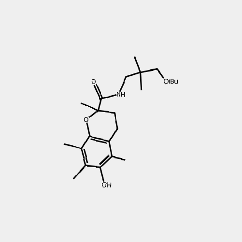 Cc1c(C)c2c(c(C)c1O)CCC(C)(C(=O)NCC(C)(C)COCC(C)C)O2